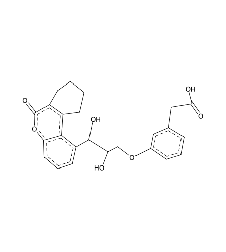 O=C(O)Cc1cccc(OCC(O)C(O)c2cccc3oc(=O)c4c(c23)CCCC4)c1